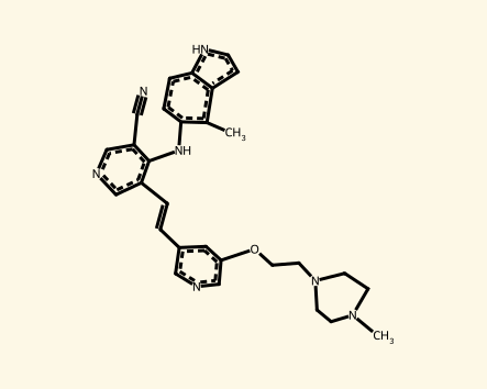 Cc1c(Nc2c(C#N)cncc2C=Cc2cncc(OCCN3CCN(C)CC3)c2)ccc2[nH]ccc12